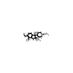 CN1CCC(C2(O)c3ccc(CI)c(Cl)c3CC2(C)C)CC1